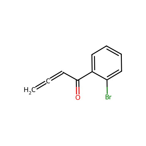 C=C=CC(=O)c1ccccc1Br